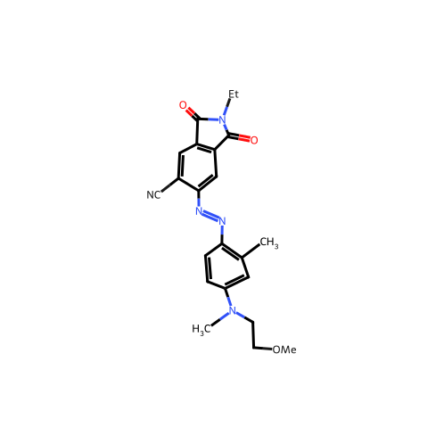 CCN1C(=O)c2cc(C#N)c(N=Nc3ccc(N(C)CCOC)cc3C)cc2C1=O